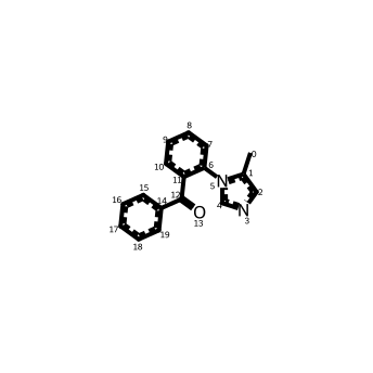 Cc1cncn1-c1ccccc1C(=O)c1ccccc1